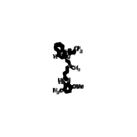 COc1ccc(C)c2[nH]c(CCCN(C)CC[C@]3(OC(=O)CC(F)(F)F)C[C@H]4CCC[C@@H]3c3ccccc34)nc12